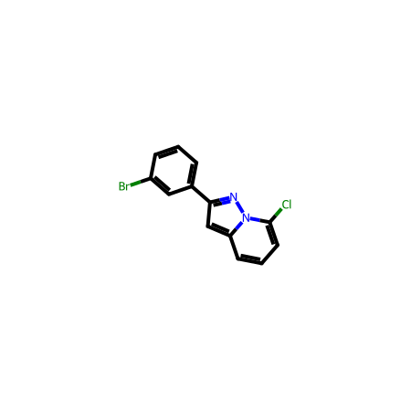 Clc1cccc2cc(-c3cccc(Br)c3)nn12